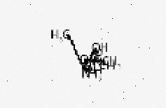 CCCCCCCCCCCCC[C@@H](CC(N)=O)OC(=O)[C@H](CCCC(=O)O)NC(=O)NC[C@H](C)O